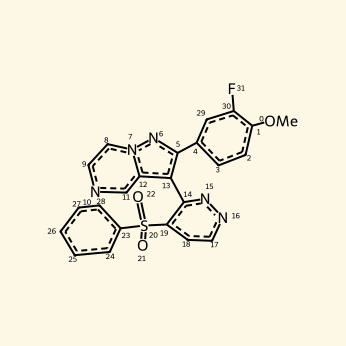 COc1ccc(-c2nn3ccncc3c2-c2nnccc2S(=O)(=O)c2ccccc2)cc1F